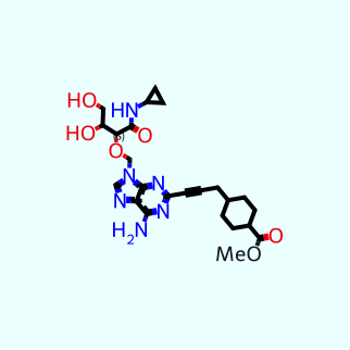 COC(=O)C1CCC(CC#Cc2nc(N)c3ncn(CO[C@H](C(=O)NC4CC4)C(O)CO)c3n2)CC1